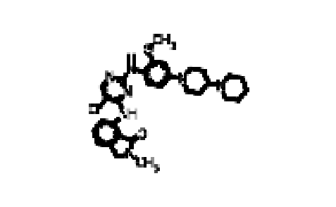 COc1cc(N2CCC(N3CCCCC3)CC2)ccc1Nc1ncc(Cl)c(Nc2cccc3c2C(=O)N(C)C3)n1